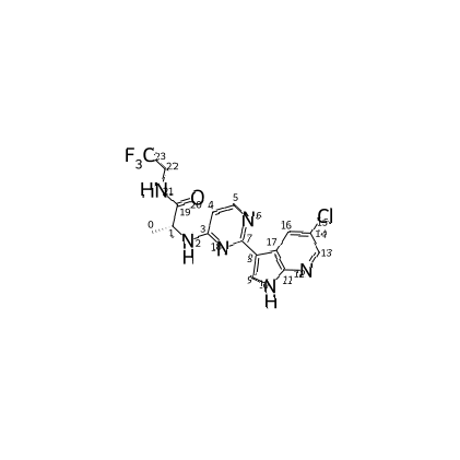 C[C@@H](Nc1ccnc(-c2c[nH]c3ncc(Cl)cc23)n1)C(=O)NCC(F)(F)F